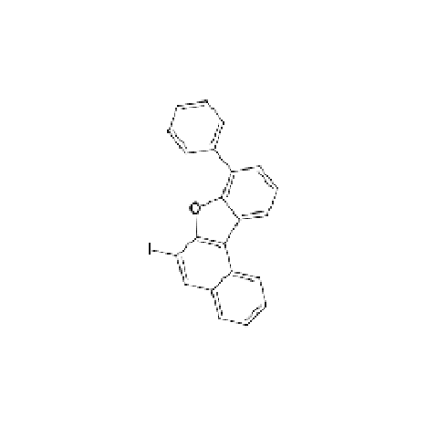 Ic1cc2ccccc2c2c1oc1c(-c3ccccc3)cccc12